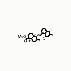 C=C1CC[C@@H]2[C@](C)(CCC[C@]2(C)C(=O)OC)[C@H]1CCc1cccc2c1C(=O)C=C(C)C2=O